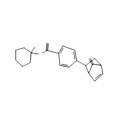 CCC1(OC(=O)c2ccc(C3CC4C=CC3C4=O)cc2)CCCCC1